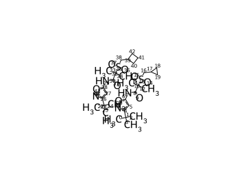 CC(C)(C)c1cc(NC(=O)C(C)(C)S(=O)(=O)CC2CC2)on1.CC(C)(C)c1cc(NC(=O)C(C)(C)S(=O)(=O)CC2CCC2)on1